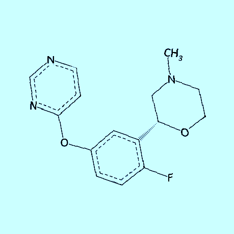 CN1CCO[C@H](c2cc(Oc3ccncn3)ccc2F)C1